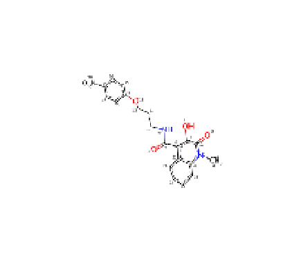 Cn1c(=O)c(O)c(C(=O)NCCCOc2ccc([N+](=O)[O-])cc2)c2ccccc21